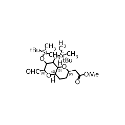 COC(=O)C[C@H]1CC[C@@H]2O[C@@H](C=O)C(O[Si](C)(C)C(C)(C)C)C(O[Si](C)(C)C(C)(C)C)[C@H]2O1